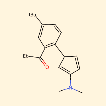 CCC(=O)c1cc(C(C)(C)C)ccc1C1C=CC(N(C)C)=C1